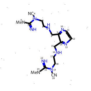 CNC(=N)N(C#N)CCNCc1nccnc1CNCCN(C#N)C(=N)NC